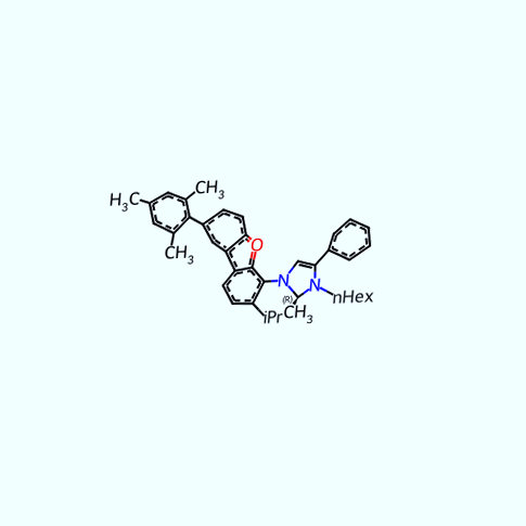 CCCCCCN1C(c2ccccc2)=CN(c2c(C(C)C)ccc3c2oc2ccc(-c4c(C)cc(C)cc4C)cc23)[C@@H]1C